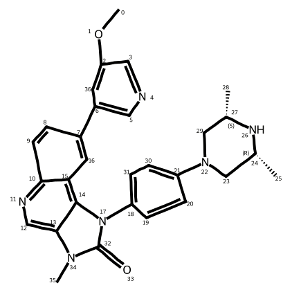 COc1cncc(-c2ccc3ncc4c(c3c2)n(-c2ccc(N3C[C@@H](C)N[C@@H](C)C3)cc2)c(=O)n4C)c1